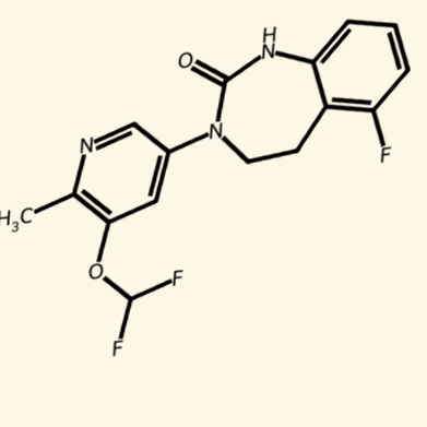 Cc1ncc(N2CCc3c(F)cccc3NC2=O)cc1OC(F)F